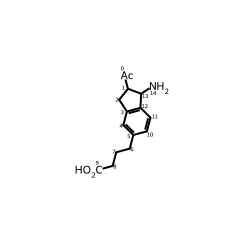 CC(=O)C1Cc2cc(CCCC(=O)O)ccc2C1N